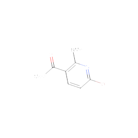 CNc1nc(Br)ccc1C(=O)OC